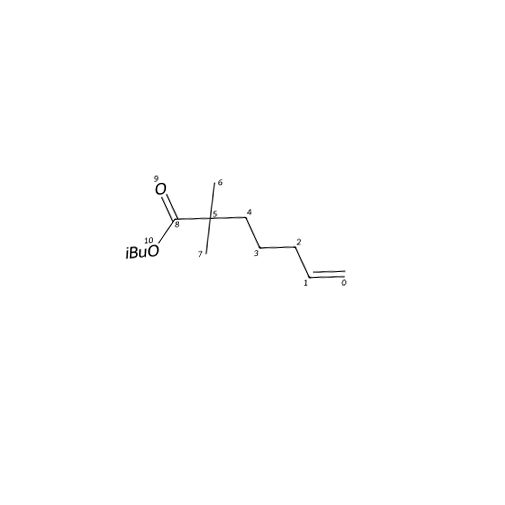 C=CCCCC(C)(C)C(=O)OCC(C)C